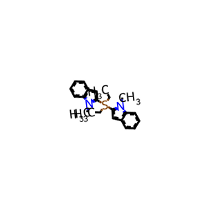 CCS(CC)(c1cc2ccccc2n1C)c1cc2ccccc2n1C